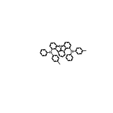 Cc1ccc(N(c2ccccc2)c2cccc3c2c2cccc4c5c(N(c6ccccc6)c6ccc(C)cc6)cccc5n3c24)cc1